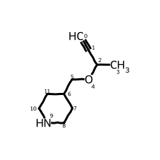 C#CC(C)OCC1CCNCC1